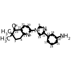 CC1(C)CCc2nc(-n3cnc(-c4cccc(N)c4)c3)ccc2C1=O